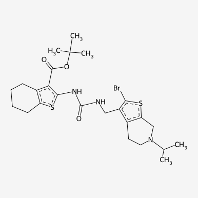 CC(C)N1CCc2c(sc(Br)c2CNC(=O)Nc2sc3c(c2C(=O)OC(C)(C)C)CCCC3)C1